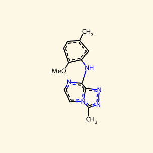 COc1ccc(C)cc1Nc1nccn2c(C)nnc12